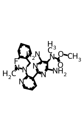 C=NN(Cc1ccccc1F)c1ncccc1-c1nc(N)c(N(C)C(=O)OC)c(N)n1